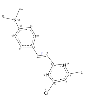 Cc1cc(Cl)nc(/C=C/c2ccc(N(C)C)cc2)n1